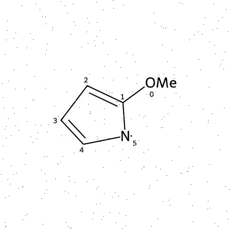 COC1=CC=C[N]1